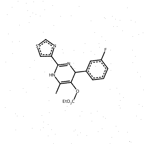 CCOC(=O)OC1=C(C)NC(c2cscn2)=NC1c1cccc(F)c1